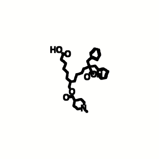 CN1CCC(C(=O)OCC(CCCCCC(=O)O)CCCCC(Cc2ccccc2)(Cc2ccccc2)C(=O)O)CC1